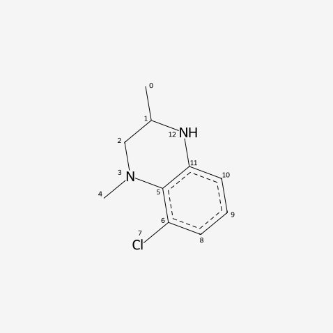 CC1CN(C)c2c(Cl)cccc2N1